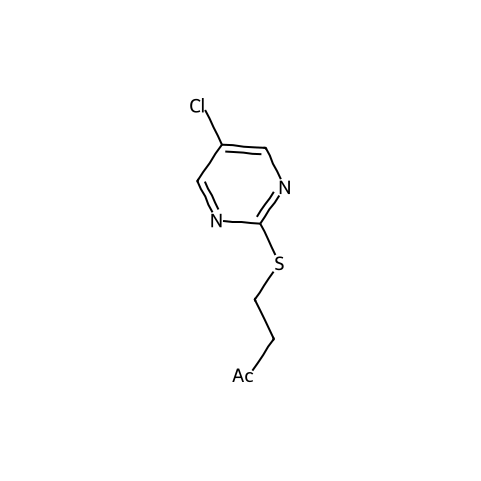 CC(=O)CCSc1ncc(Cl)cn1